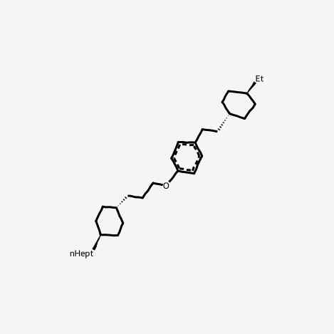 CCCCCCC[C@H]1CC[C@H](CCCOc2ccc(CC[C@H]3CC[C@H](CC)CC3)cc2)CC1